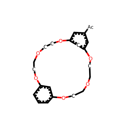 CC(=O)c1cc2cc(c1)OCCOCCOc1cccc(c1)OCCOCCO2